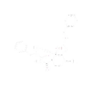 CC#CC1(O)C(OCOCc2ccccc2)C(C)CCC1(OCOCc1ccccc1)C(C)=O